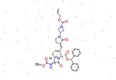 C=CCOC(=O)N1CC(N2CCC(=CC3=CS[C@@H]4[C@H](NC(=O)OC(C)(C)C)C(=O)N4[C@H]3C(=O)OC(c3ccccc3)c3ccccc3)C2=O)C1